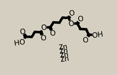 O=C(O)CCC(=O)OC(=O)CCCC(=O)OC(=O)CCC(=O)O.[Zn].[Zn].[Zn].[Zn]